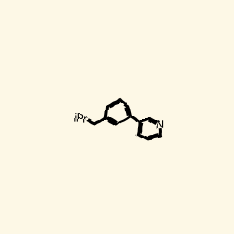 CC(C)Cc1cccc(-c2cccnc2)c1